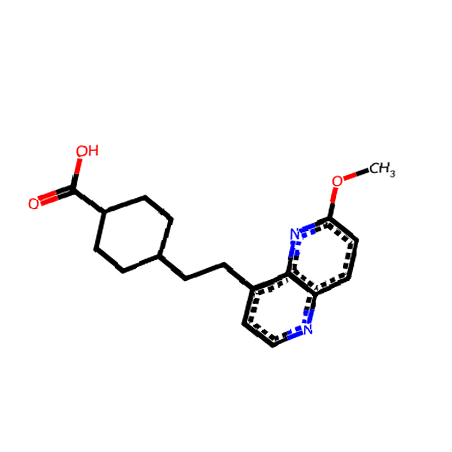 COc1ccc2nccc(CCC3CCC(C(=O)O)CC3)c2n1